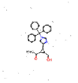 COC(=O)C1C(CO)C1c1cn(C(c2ccccc2)(c2ccccc2)c2ccccc2)cn1